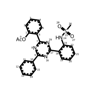 CC(=O)Oc1ccccc1-c1nc(-c2ccccc2)nc(-c2ccccc2NS(C)(=O)=O)n1